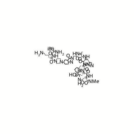 CC[C@H](C)[C@H](N)C(=O)N[C@@H](CCCCN)C(=O)N1CCN(c2ccc3ncn(CC(=O)N[C@@H](C)C(=O)N[C@@H](Cc4cnc[nH]4)C(=O)N[C@@H](Cc4ccc(O)cc4)C(=O)N[C@@H](CC(C)C)C(=O)N[C@@H](CC(N)=O)C(=O)NC)c(=O)c3c2)CC1